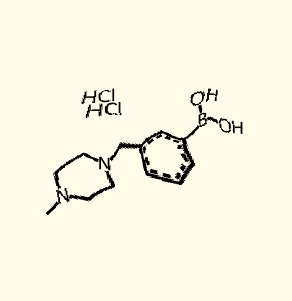 CN1CCN(Cc2cccc(B(O)O)c2)CC1.Cl.Cl